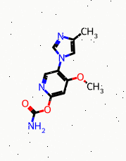 COc1cc(OC(N)=O)ncc1-n1cnc(C)c1